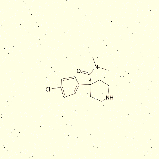 CN(C)C(=O)C1(c2ccc(Cl)cc2)CCNCC1